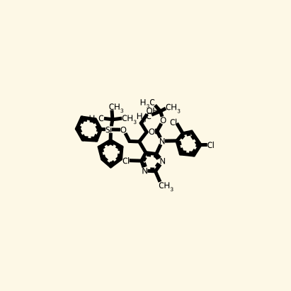 Cc1nc(Cl)c(C(CCO)CO[Si](c2ccccc2)(c2ccccc2)C(C)(C)C)c(N(C(=O)OC(C)(C)C)c2ccc(Cl)cc2Cl)n1